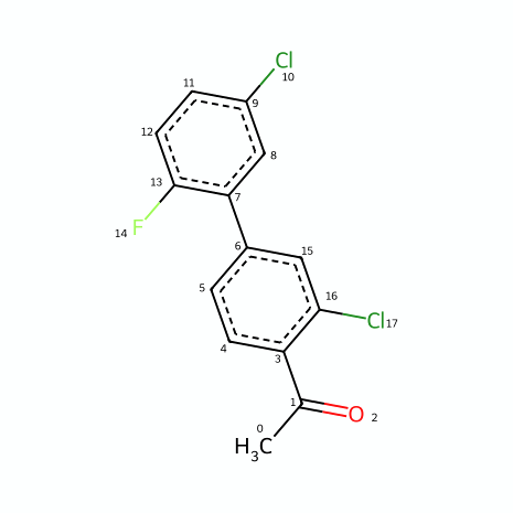 CC(=O)c1ccc(-c2cc(Cl)ccc2F)cc1Cl